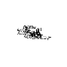 CCOc1cc2cc(C(=O)O)[nH]c2cc1O[C@@H]1O[C@H](CO[C@@H]2O[C@@H](C(=O)OC)[C@@H](OC(C)=O)[C@H](OC(C)=O)[C@H]2OC(C)=O)[C@H](OC(C)=O)[C@H](OC(C)=O)[C@H]1OC(C)=O